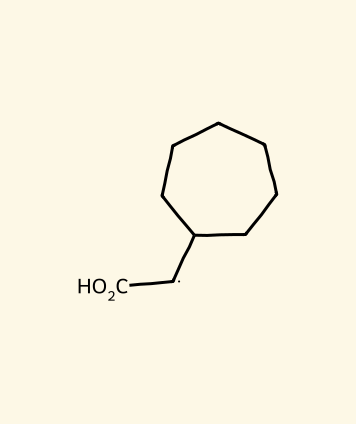 O=C(O)[CH]C1CCCCCC1